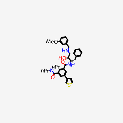 CCCN(CCC)C(=O)c1cc(C(=O)N[C@@H](Cc2ccccc2)[C@H](O)CNCc2cccc(OC)c2)cc(-c2ccsc2)c1